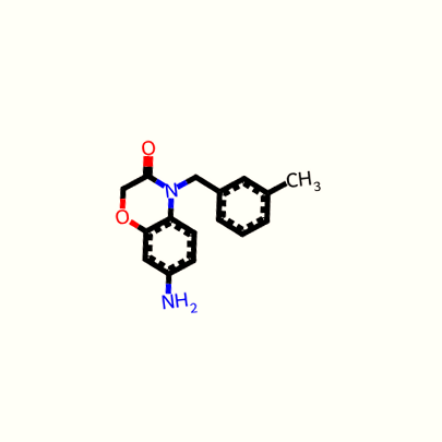 Cc1cccc(CN2C(=O)COc3cc(N)ccc32)c1